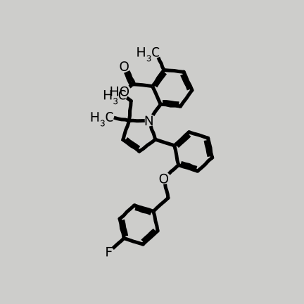 CCC1(C)C=CC(c2ccccc2OCc2ccc(F)cc2)N1c1cccc(C)c1C(=O)O